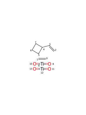 C=C.C=CC1CCC1.[O]=[Ti]=[O].[O]=[Ti]=[O]